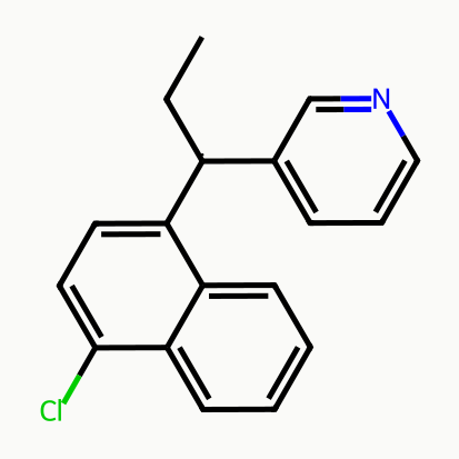 CC[C](c1cccnc1)c1ccc(Cl)c2ccccc12